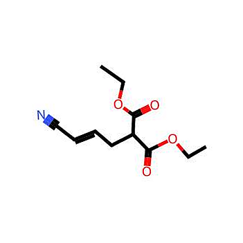 CCOC(=O)C(CC=CC#N)C(=O)OCC